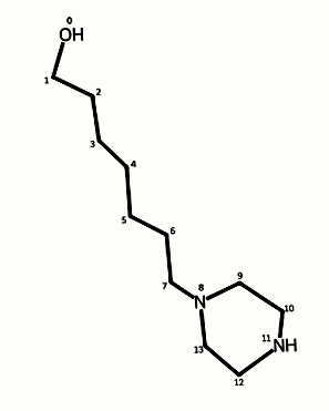 OCCCCCCCN1CCNCC1